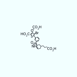 NC(=O)N(c1cccc(-c2sc(C(=O)O)c(OCC(=O)O)c2Br)c1)C1CCCC(CCCC(=O)O)C1